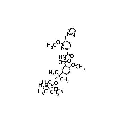 COc1ccc(C(C)(C)CO[Si](C)(C)C(C)(C)C)cc1S(=O)(=O)NC(=O)c1ccc(Cn2cccn2)c(OC)n1